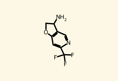 NC1COc2cc(C(F)(F)F)ncc21